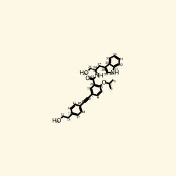 CC(C)Oc1ccc(C#Cc2ccc(CCO)cc2)cc1C(=O)N[C@@H](CO)Cc1c[nH]c2ccccc12